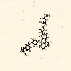 Cc1cc(Nc2ncnn3ccc(C4CCN(C(=O)/C=C/CN5CCC(O)C5)CC4)c23)ccc1Oc1ccc2c(c1)ncn2C